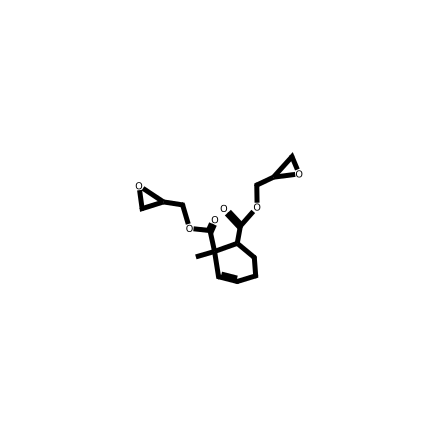 CC1(C(=O)OCC2CO2)C=CCCC1C(=O)OCC1CO1